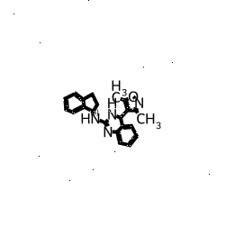 Cc1noc(C)c1C1NC(N[C@H]2CCc3ccccc32)=Nc2ccccc21